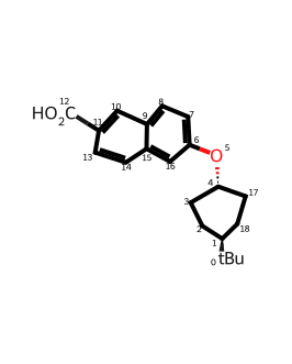 CC(C)(C)[C@H]1CC[C@H](Oc2ccc3cc(C(=O)O)ccc3c2)CC1